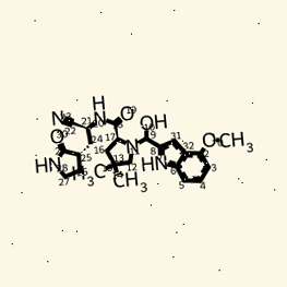 COc1cccc2[nH]c(C(O)N3CC(C)(C)C[C@H]3C(=O)N[C@H](C#N)C[C@@H]3CCNC3=O)cc12